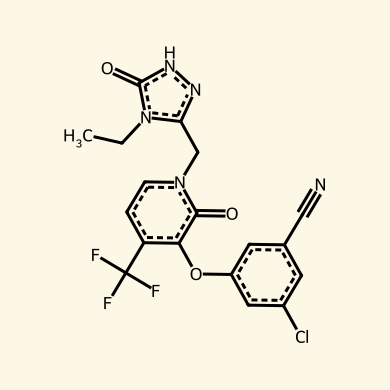 CCn1c(Cn2ccc(C(F)(F)F)c(Oc3cc(Cl)cc(C#N)c3)c2=O)n[nH]c1=O